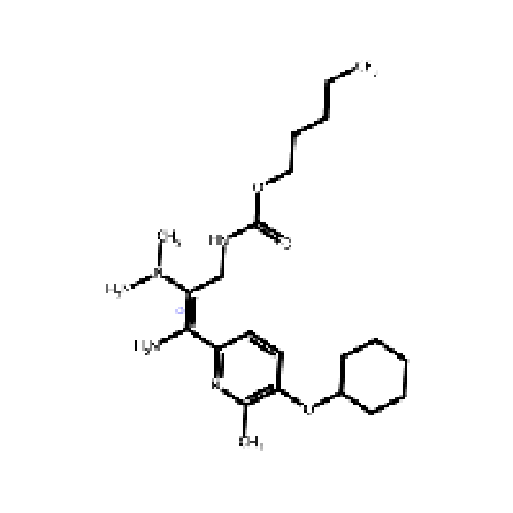 Cc1nc(/C(N)=C(\CNC(=O)OCCCCC(F)(F)F)N(C)N)ccc1OC1CCCCC1